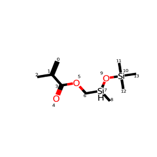 C=C(C)C(=O)OC[SiH](C)O[Si](C)(C)C